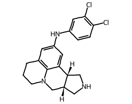 Clc1ccc(Nc2cc3c4c(c2)[C@@H]2CNC[C@@H]2CN4CCC3)cc1Cl